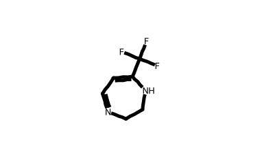 FC(F)(F)C1=CC=NCCN1